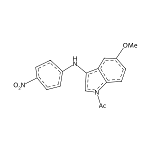 COc1ccc2c(c1)c(Nc1ccc([N+](=O)[O-])cc1)cn2C(C)=O